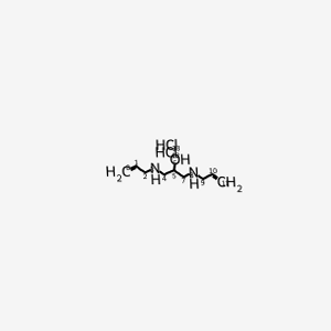 C=CCNCC(O)CNCC=C.Cl.Cl